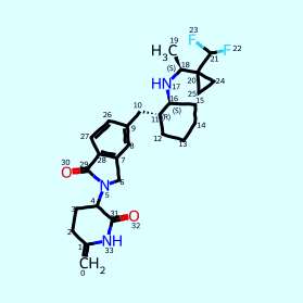 C=C1CCC(N2Cc3cc(C[C@H]4CCCC[C@@H]4N[C@@H](C)C4(C(F)F)CC4)ccc3C2=O)C(=O)N1